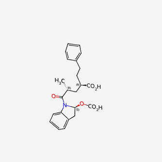 C[C@H](C[C@@H](CCc1ccccc1)C(=O)O)C(=O)N1c2ccccc2C[C@@H]1OC(=O)O